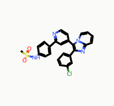 CS(=O)(=O)Nc1ccc(-c2cc(-c3c(-c4cccc(Cl)c4)nc4ccccn34)ccn2)cc1